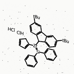 CC(C)(C)c1ccc2c(c1)-c1cc(C(C)(C)C)ccc1[CH]2[Zr]([C]1=CC=CC1)=[Si](c1ccccc1)c1ccccc1.Cl.Cl